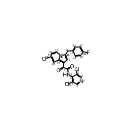 O=C(Nc1c(Cl)cncc1Cl)C(=O)c1cc(Cc2ccc(F)cc2)n2ccc(Cl)cc12